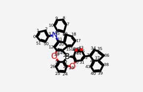 c1ccc(N(c2ccccc2)c2cc3c(c4ccccc24)B2c4c(cccc4O3)Oc3cc(-c4cccc5ccccc45)c4ccccc4c32)cc1